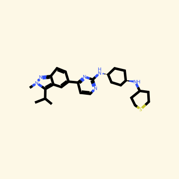 CC(C)c1c2cc(-c3ccnc(N[C@H]4CC[C@H](NC5CCSCC5)CC4)n3)ccc2nn1C